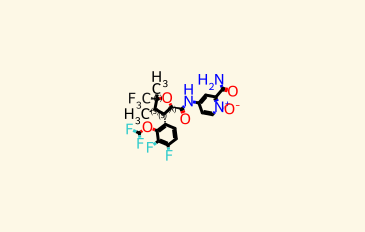 C[C@H]1[C@@H](c2ccc(F)c(F)c2OC(F)F)[C@H](C(=O)Nc2cc[n+]([O-])c(C(N)=O)c2)O[C@]1(C)C(F)(F)F